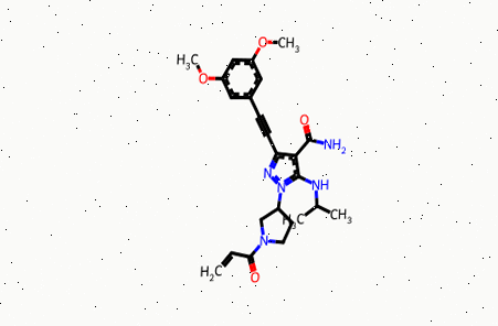 C=CC(=O)N1CCC(n2nc(C#Cc3cc(OC)cc(OC)c3)c(C(N)=O)c2NC(C)C)C1